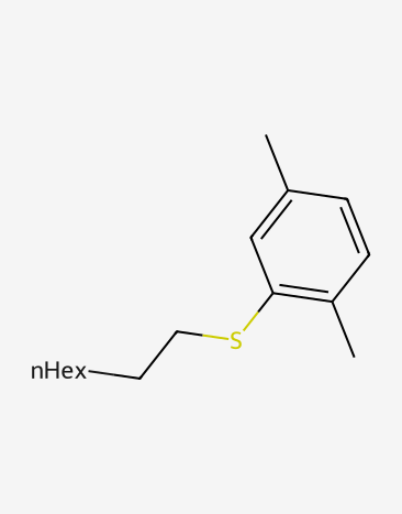 CCCCCCCCSc1cc(C)ccc1C